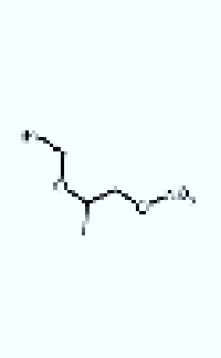 CC(C)COC(C)CO[N+](=O)[O-]